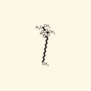 CCCCCCCCCCCCCC(=O)OC(C)(C)OC(=O)C(C)C